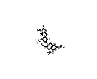 Cc1cc(/C=C2/SC(=S)NC2=O)cc2c1OCC(=O)N2Cc1cc(C(C)(C)C)cc(C(C)(C)C)c1